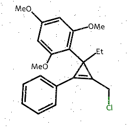 CCC1(c2c(OC)cc(OC)cc2OC)C(CCl)=C1c1ccccc1